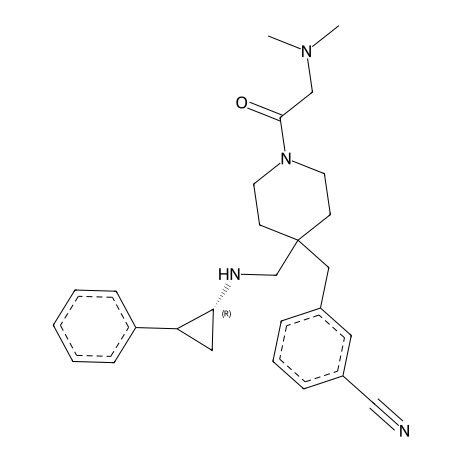 CN(C)CC(=O)N1CCC(CN[C@@H]2CC2c2ccccc2)(Cc2cccc(C#N)c2)CC1